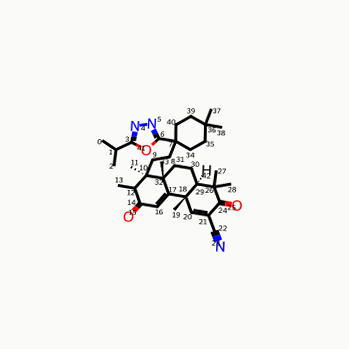 CC(C)c1nnc(C2(CC[C@]3(C)C(C)C(=O)C=C4[C@@]5(C)C=C(C#N)C(=O)C(C)(C)[C@@H]5CC[C@]43C)CCC(C)(C)CC2)o1